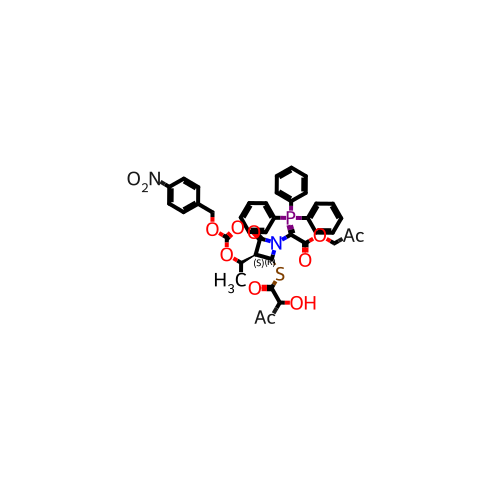 CC(=O)COC(=O)C(N1C(=O)[C@H](C(C)OC(=O)OCc2ccc([N+](=O)[O-])cc2)[C@H]1SC(=O)C(O)C(C)=O)=P(c1ccccc1)(c1ccccc1)c1ccccc1